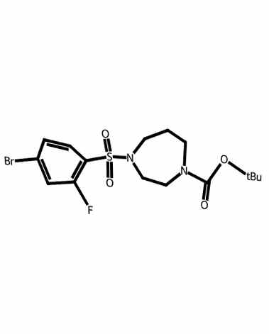 CC(C)(C)OC(=O)N1CCCN(S(=O)(=O)c2ccc(Br)cc2F)CC1